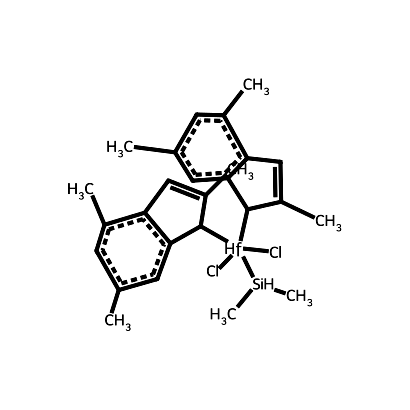 CC1=Cc2c(C)cc(C)cc2[CH]1[Hf]([Cl])([Cl])([CH]1C(C)=Cc2c(C)cc(C)cc21)[SiH](C)C